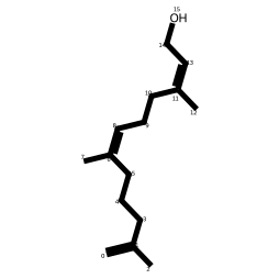 C=C(C)CCC/C(C)=C\CC/C(C)=C\CO